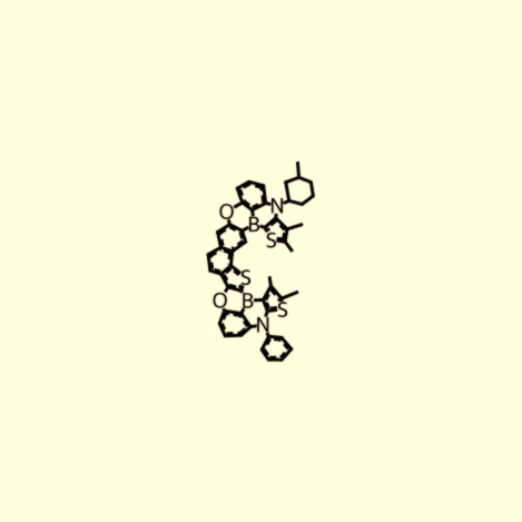 Cc1sc2c(c1C)B1c3sc4c(ccc5cc6c(cc54)B4c5sc(C)c(C)c5N(C5CCCC(C)C5)c5cccc(c54)O6)c3Oc3cccc(c31)N2c1ccccc1